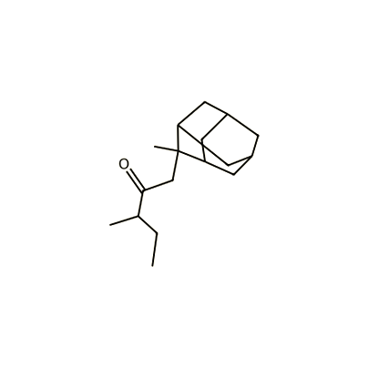 CCC(C)C(=O)CC1(C)C2CC3CC(C2)CC1C3